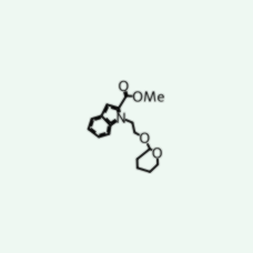 COC(=O)c1cc2ccccc2n1CCOC1CCCCO1